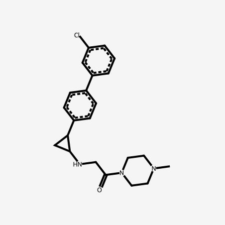 CN1CCN(C(=O)CNC2CC2c2ccc(-c3cccc(Cl)c3)cc2)CC1